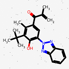 C=C(C)C(=O)c1cc(-n2nc3ccccc3n2)c(O)c(C(C)(C)C)c1C